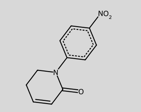 O=C1C=CCCN1c1ccc([N+](=O)[O-])cc1